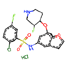 Cl.O=S(=O)(Nc1cc(OC2CCNCC2F)c2occc2c1)c1cc(F)ccc1Cl